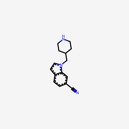 N#Cc1ccc2ccn(CC3CCNCC3)c2c1